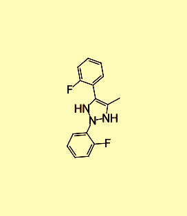 CC1=C(c2ccccc2F)NN(c2ccccc2F)N1